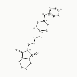 O=C1C2CCCCC2C(=O)N1CCCCN1CCN(Cc2ccccc2)CC1